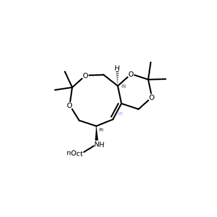 CCCCCCCCN[C@@H]1/C=C2/COC(C)(C)O[C@@H]2COC(C)(C)OC1